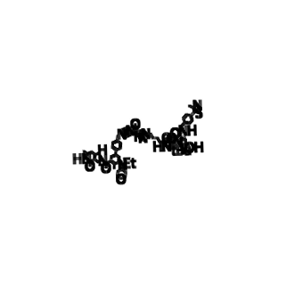 CCN(c1cc(-c2ccc(CN3CCN(C(=O)c4cn(CCCCC(=O)N[C@H](C(=O)N5C[C@H](O)C[C@H]5C(=O)NCc5ccc(-c6scnc6C)cc5)C(C)(C)C)nn4)CC3)cc2)cc(C(=O)NCc2c(C)cc(C)[nH]c2=O)c1C)C1CCOCC1